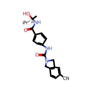 CC(C)[C@@](C)(O)NC(=O)c1ccc(NC(=O)N2Cc3ccc(C#N)cc3C2)cc1